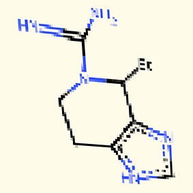 CCC1c2nc[nH]c2CCN1C(=N)N